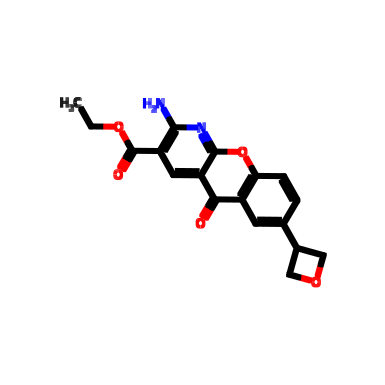 CCOC(=O)c1cc2c(=O)c3cc(C4COC4)ccc3oc2nc1N